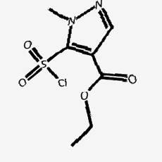 CCOC(=O)c1cnn(C)c1S(=O)(=O)Cl